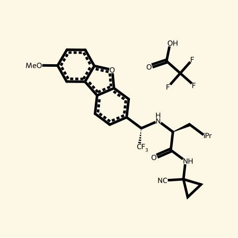 COc1ccc2oc3cc([C@H](N[C@@H](CC(C)C)C(=O)NC4(C#N)CC4)C(F)(F)F)ccc3c2c1.O=C(O)C(F)(F)F